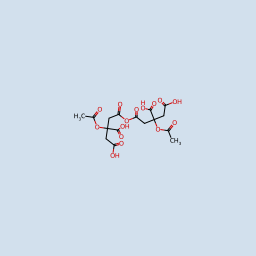 CC(=O)OC(CC(=O)O)(CC(=O)OC(=O)CC(CC(=O)O)(OC(C)=O)C(=O)O)C(=O)O